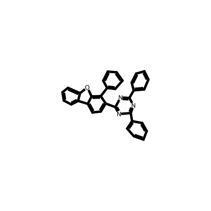 c1ccc(-c2nc(-c3ccccc3)nc(-c3ccc4c(oc5ccccc54)c3-c3ccccc3)n2)cc1